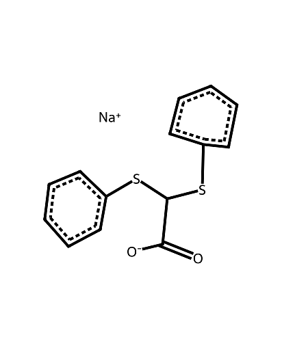 O=C([O-])C(Sc1ccccc1)Sc1ccccc1.[Na+]